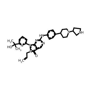 C=CCn1c(=O)c2cnc(Nc3ccc(C4CCN(C5CCNC5)CC4)cc3)nc2n1-c1cccc(C(C)(C)O)n1